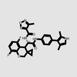 Cc1c[nH]c(C)c1-c1ccc(NC(=O)[C@@H](NC(=O)c2nonc2C)C2c3c(F)ccc(F)c3OCC23CC3)cc1